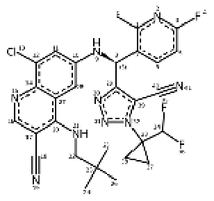 Cc1nc(F)ccc1[C@H](Nc1cc(Cl)c2ncc(C#N)c(NCC(C)(C)C)c2c1)c1nnn(C2(C(F)F)CC2)c1C#N